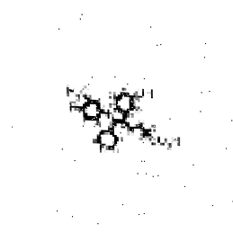 Cc1cc(-n2c(C3CCOCC3)c(CCC(F)(F)C(=O)O)c3cc(O)ccc32)ccc1F